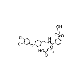 CC(=O)O.O=C(NCCN1CCC(Oc2ccc(Cl)c(Cl)c2)CC1)c1cccc(S(=O)(=O)CCO)c1